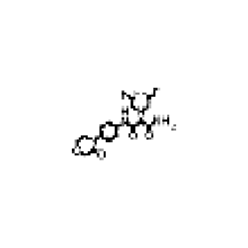 NC(=O)[C@H](C(=O)Nc1ccc(N2CCOCC2=O)cc1)N(CC(F)F)CC(F)F